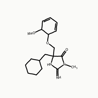 COC1C=CC=CC1OCC1(CC2CCCCC2)NC(=N)N(C)C1=O